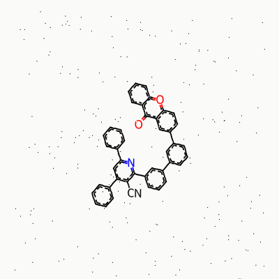 N#Cc1c(-c2ccccc2)cc(-c2ccccc2)nc1-c1cccc(-c2cccc(-c3ccc4oc5ccccc5c(=O)c4c3)c2)c1